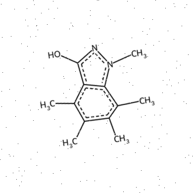 Cc1c(C)c(C)c2c(c(O)nn2C)c1C